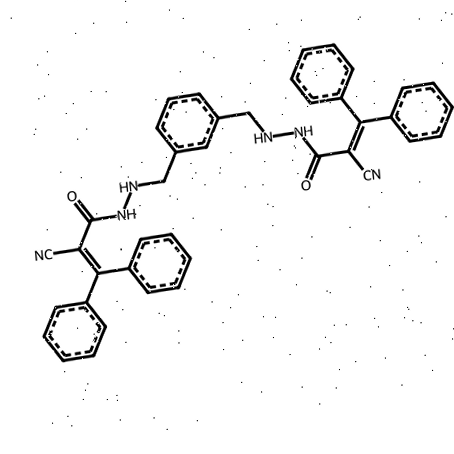 N#CC(C(=O)NNCc1cccc(CNNC(=O)C(C#N)=C(c2ccccc2)c2ccccc2)c1)=C(c1ccccc1)c1ccccc1